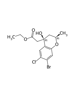 CCOC(=O)C[C@]1(O)C[C@@H](C)Oc2cc(Br)c(Cl)cc21